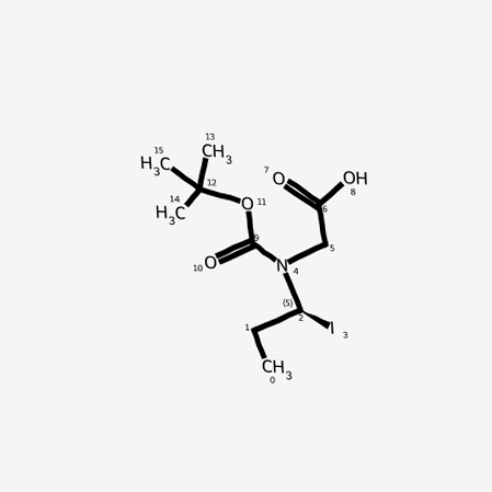 CC[C@H](I)N(CC(=O)O)C(=O)OC(C)(C)C